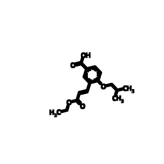 CCOC(=O)/C=C/c1cc(C(=O)O)ccc1OCC(C)C